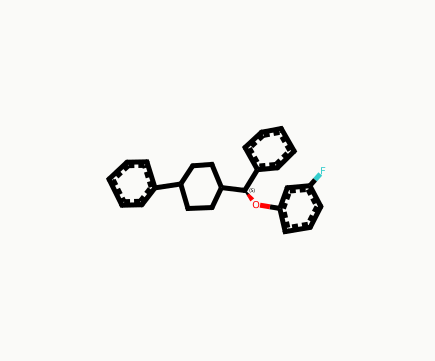 Fc1cccc(O[C@H](c2ccccc2)C2CCC(c3ccccc3)CC2)c1